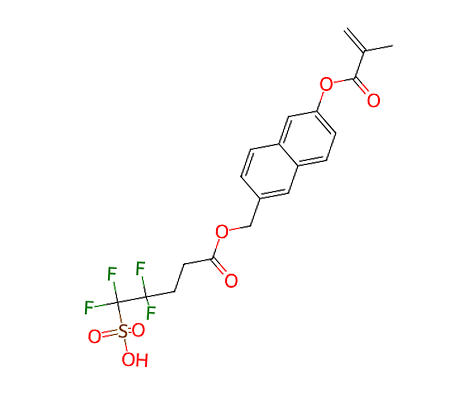 C=C(C)C(=O)Oc1ccc2cc(COC(=O)CCC(F)(F)C(F)(F)S(=O)(=O)O)ccc2c1